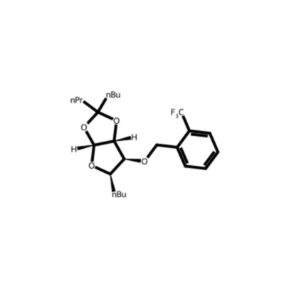 CCCC[C@H]1O[C@@H]2OC(CCC)(CCCC)O[C@@H]2[C@H]1OCc1ccccc1C(F)(F)F